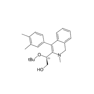 Cc1ccc(C2=C([C@@H](CO)OC(C)(C)C)N(C)Cc3ccccc32)cc1C